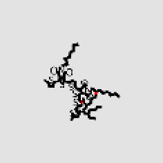 CCCCCCCCN1C(=O)c2c(-c3ccc(C)s3)sc(-c3ccc(-c4sc(-c5cc6c(s5)-c5sc(C)cc5[Si]6(CC(CC)CCCC)CC(CC)CCCC)c5c4C(=O)N(CCCCCCCC)C5=O)s3)c2C1=O